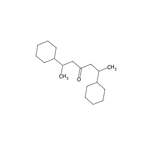 CC(CC(=O)CC(C)C1CCCCC1)C1CCCCC1